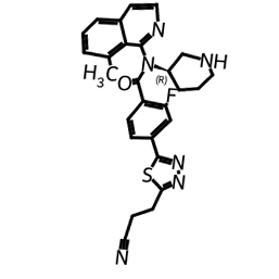 Cc1cccc2ccnc(N(C(=O)c3ccc(-c4nnc(CCC#N)s4)cc3F)[C@@H]3CCCNC3)c12